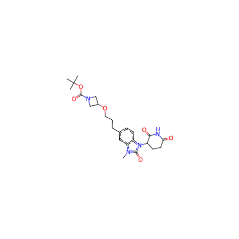 Cn1c(=O)n(C2CCC(=O)NC2=O)c2ccc(CCCOC3CN(C(=O)OC(C)(C)C)C3)cc21